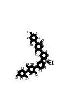 CCn1c2ccc(-c3cc(C)c(-c4ccc(C)cc4C)cc3C)cc2c2cc(-c3cc(C)c(-c4ccc(C)cc4C)cc3C)ccc21